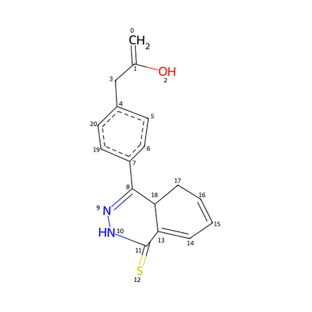 C=C(O)Cc1ccc(C2=NNC(=S)C3=CC=CCC32)cc1